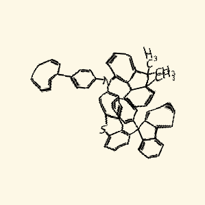 CC1(C)c2cccc(N(c3ccc(C4=CC=CCC=C4)cc3)c3ccc4c(c3)sc3cccc(C5(c6ccccc6)c6ccccc6-c6ccccc65)c34)c2C2C=CC=CC21C